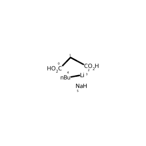 O=C(O)CC(=O)O.[Li][CH2]CCC.[NaH]